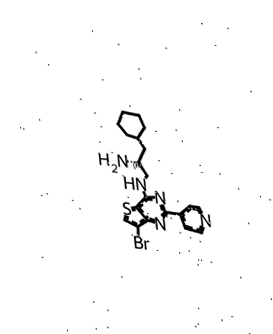 N[C@@H](CNc1nc(-c2ccncc2)nc2c(Br)csc12)CC1CCCCC1